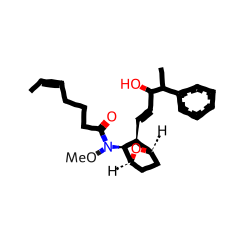 C/C=C\CCCC(=O)N(OC)[C@H]1[C@@H](/C=C/C(O)C(C)c2ccccc2)[C@H]2CC[C@@H]1O2